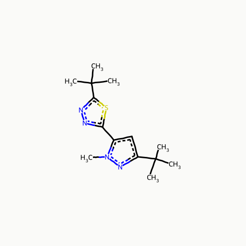 Cn1nc(C(C)(C)C)cc1-c1nnc(C(C)(C)C)s1